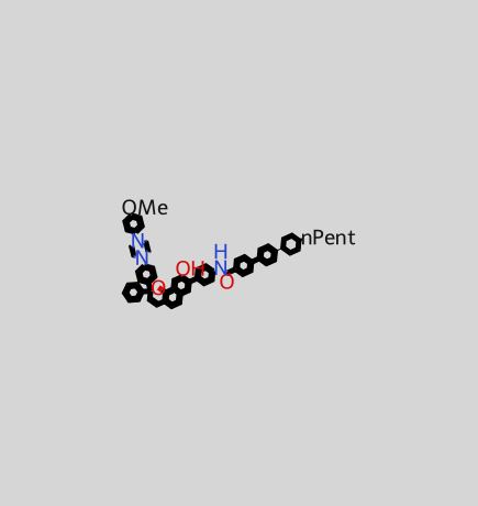 CCCCC[C@H]1CC[C@H](c2ccc(-c3ccc(C(=O)Nc4ccc(-c5cc6ccc7c(c6cc5O)OC(c5ccccc5)(c5ccc(N6CCN(c8ccc(OC)cc8)CC6)cc5)C=C7)cc4)cc3)cc2)CC1